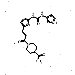 CC(=O)N1CCN(C(=O)CCc2csc(NC(=O)Nc3cn[nH]c3)n2)CC1